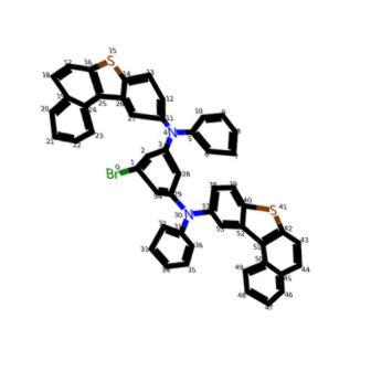 Brc1cc(N(c2ccccc2)c2ccc3sc4ccc5ccccc5c4c3c2)cc(N(c2ccccc2)c2ccc3sc4ccc5ccccc5c4c3c2)c1